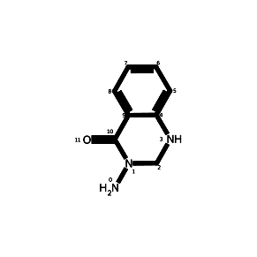 NN1CNc2ccccc2C1=O